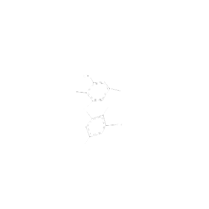 Cc1cc(Sc2cc(C)cc(C(C)(C)C)c2C)c(C)c(C(C)(C)C)c1